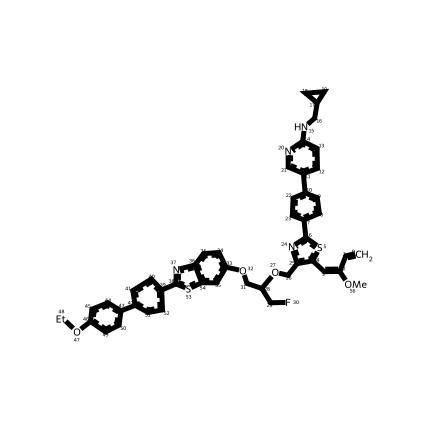 C=C/C(=C\c1sc(-c2ccc(-c3ccc(NCC4CC4)nc3)cc2)nc1COC(CF)COc1ccc2nc(-c3ccc(-c4ccc(OCC)cc4)cc3)sc2c1)OC